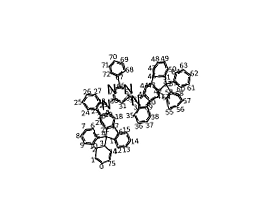 C1=CCC(C2(c3ccccc3)c3ccccc3-c3cc4c(cc32)c2ccccc2n4-c2cc(-n3c4ccccc4c4cc5c(cc43)-c3ccccc3C5(c3ccccc3)c3ccccc3)nc(-c3ccccc3)n2)C=C1